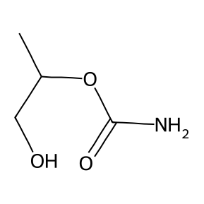 CC(CO)OC(N)=O